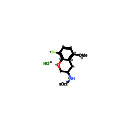 CCCCCCCCNC1COc2c(F)ccc(OC)c2C1.Cl